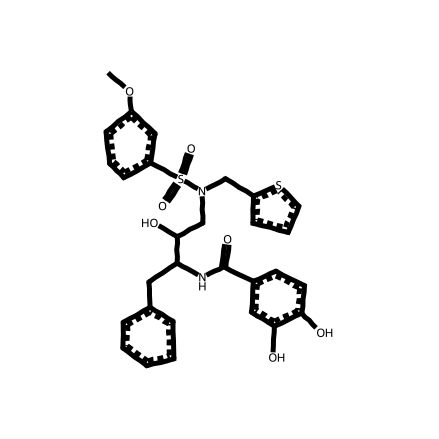 COc1cccc(S(=O)(=O)N(Cc2cccs2)CC(O)C(Cc2ccccc2)NC(=O)c2ccc(O)c(O)c2)c1